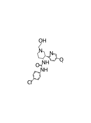 COc1ccc([C@@H]2CN(CCO)CC[C@H]2NC(=O)Nc2ccc(Cl)cc2)nc1